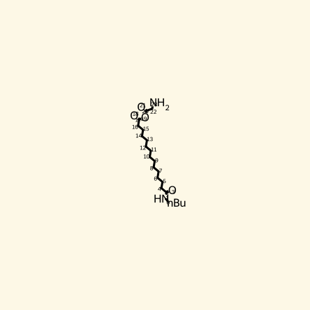 CCCCNC(=O)CCCCCCCCCCCCCC(=O)OC(=O)CN